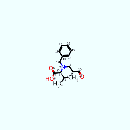 CC(C)[C@@H](C(=O)O)N(CCC=O)Cc1ccccc1